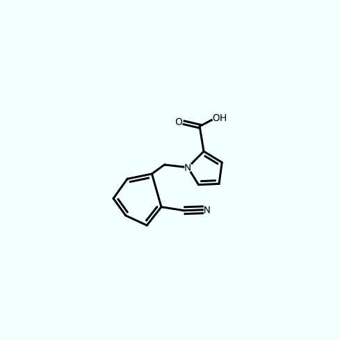 N#Cc1ccccc1Cn1cccc1C(=O)O